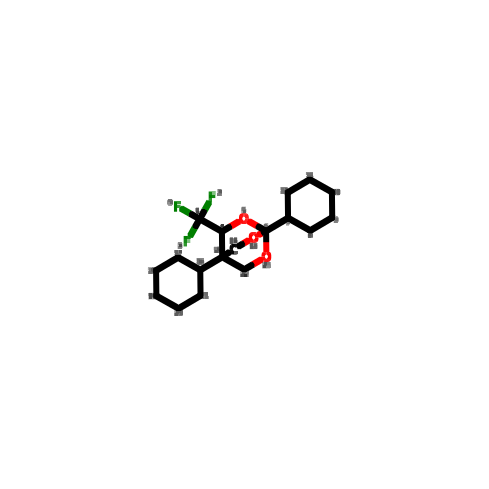 FC(F)(F)C1OC2(C3CCCCC3)OCC1(C1CCCCC1)CO2